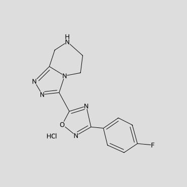 Cl.Fc1ccc(-c2noc(-c3nnc4n3CCNC4)n2)cc1